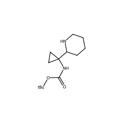 CC(C)(C)OC(=O)NC1(C2CCCCN2)CC1